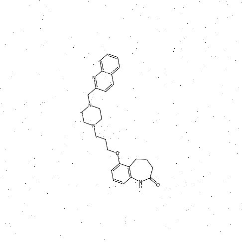 O=C1CCCc2c(cccc2OCCCN2CCN(Cc3ccc4ccccc4n3)CC2)N1